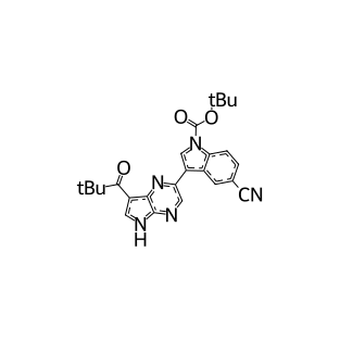 CC(C)(C)OC(=O)n1cc(-c2cnc3[nH]cc(C(=O)C(C)(C)C)c3n2)c2cc(C#N)ccc21